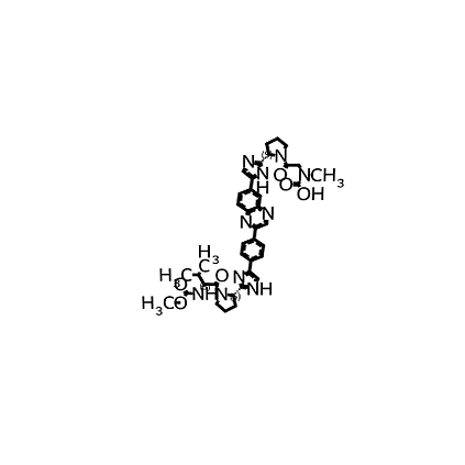 COC(=O)N[C@H](C(=O)N1CCC[C@H]1c1nc(-c2ccc(-c3cnc4cc(-c5cnc([C@@H]6CCCN6C(=O)CN(C)C(=O)O)[nH]5)ccc4n3)cc2)c[nH]1)C(C)C